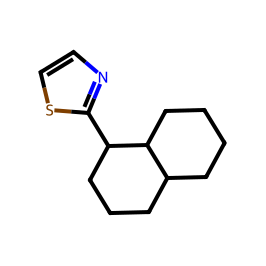 c1csc(C2CCCC3CCCCC32)n1